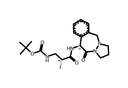 C[C@H](CNC(=O)OC(C)(C)C)C(=O)N[C@@H]1C(=O)N2CCCN2Cc2ccccc21